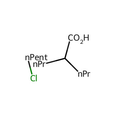 CCCC(CCC)C(=O)O.CCCCCCl